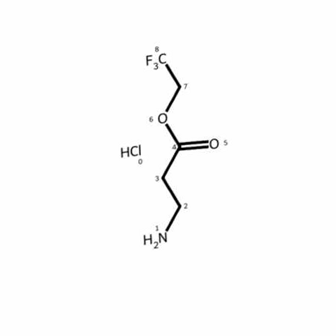 Cl.NCCC(=O)OCC(F)(F)F